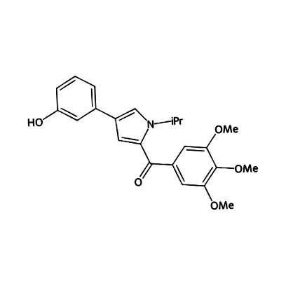 COc1cc(C(=O)c2cc(-c3cccc(O)c3)cn2C(C)C)cc(OC)c1OC